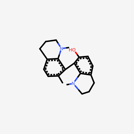 Cc1ccc2c(c1-c1c(O)ccc3c1N(C)CCC3)N(C)CCC2